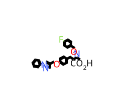 CC(=NOCc1ccc(F)cc1)C(Cc1ccc(OCc2cnn(-c3ccccc3)c2)cc1)C(=O)O